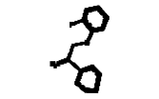 C=C(COc1ccccc1I)c1ccccc1